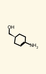 NC1=CC[C@@H](CO)CC1